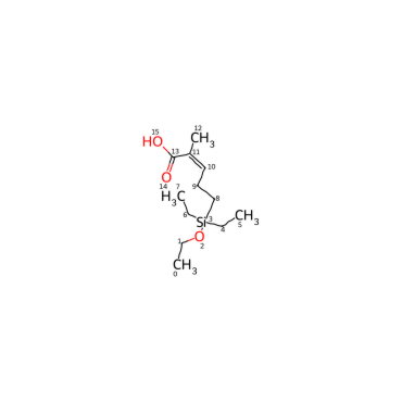 CCO[Si](CC)(CC)CCC=C(C)C(=O)O